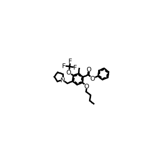 CCCCOc1cc(CN2CCCC2)c(OC(F)(F)F)c(C)c1C(=O)Oc1ccccc1